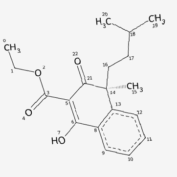 CCOC(=O)C1=C(O)c2ccccc2[C@](C)(CCC(C)C)C1=O